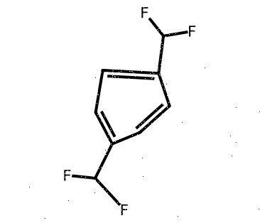 FC(F)c1ccc(C(F)F)cc1